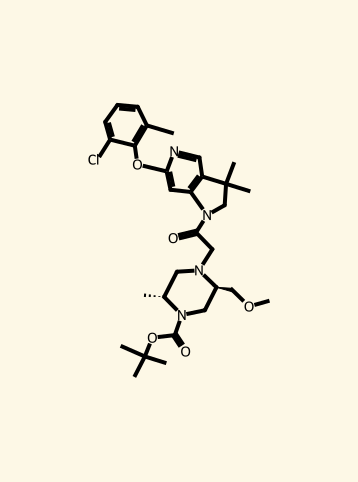 COC[C@H]1CN(C(=O)OC(C)(C)C)[C@H](C)CN1CC(=O)N1CC(C)(C)c2cnc(Oc3c(C)cccc3Cl)cc21